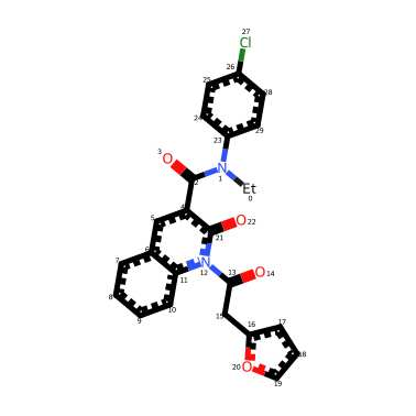 CCN(C(=O)c1cc2ccccc2n(C(=O)Cc2ccco2)c1=O)c1ccc(Cl)cc1